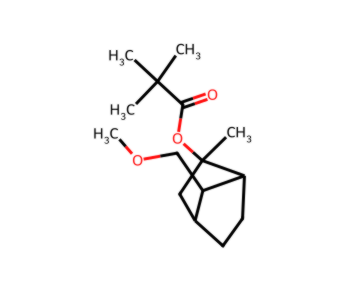 COCC1C2CCC1C(C)(OC(=O)C(C)(C)C)C2